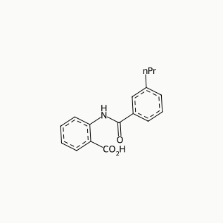 CCCc1cccc(C(=O)Nc2ccccc2C(=O)O)c1